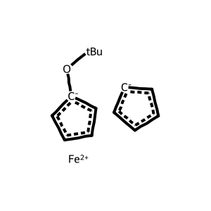 CC(C)(C)O[c-]1cccc1.[Fe+2].c1cc[cH-]c1